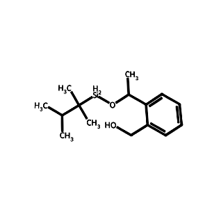 CC(O[SiH2]C(C)(C)C(C)C)c1ccccc1CO